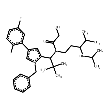 CC(C)NC(CCN(C(=O)CO)C(c1cc(-c2cc(F)ccc2F)cn1Cc1ccccc1)C(C)(C)C)C(C)C